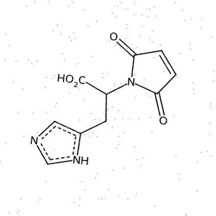 O=C(O)C(Cc1cnc[nH]1)N1C(=O)C=CC1=O